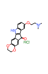 CN(C)CCOc1ccc2[nH]c3c(c2c1)C(=O)c1cc2c(cc1-3)OCCO2.Cl